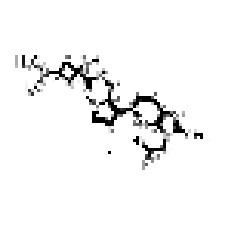 Cc1nc2ccc(-c3ccn4nc(C5(N)CC(N(C)C)C5)ncc34)nc2n1CC(F)F